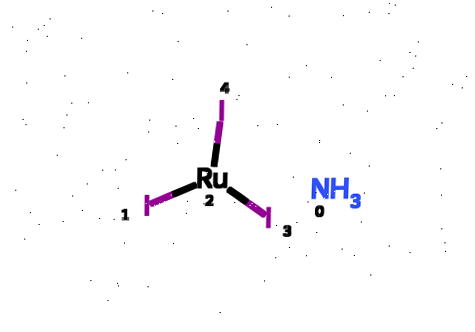 N.[I][Ru]([I])[I]